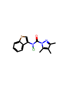 Cc1nn(C(=O)N(Cl)c2csc3ccccc23)c(C)c1C